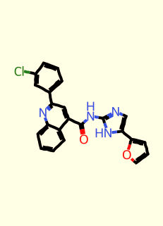 O=C(Nc1ncc(-c2ccco2)[nH]1)c1cc(-c2cccc(Cl)c2)nc2ccccc12